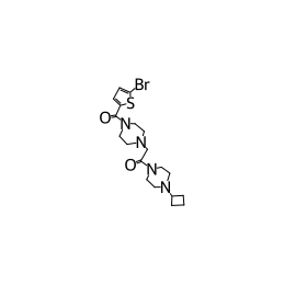 O=C(CN1CCN(C(=O)c2ccc(Br)s2)CC1)N1CCN(C2CCC2)CC1